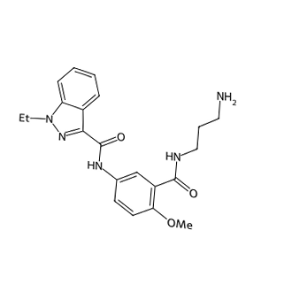 CCn1nc(C(=O)Nc2ccc(OC)c(C(=O)NCCCN)c2)c2ccccc21